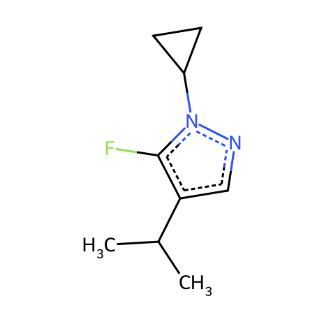 CC(C)c1cnn(C2CC2)c1F